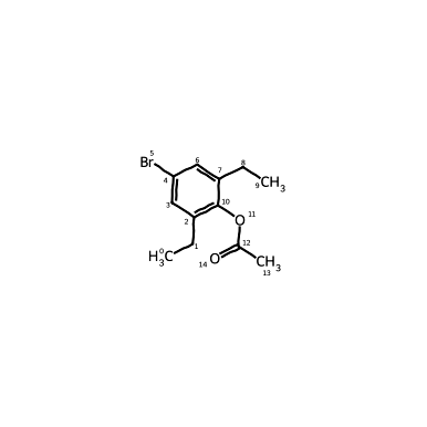 CCc1cc(Br)cc(CC)c1OC(C)=O